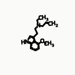 C=CCN(CC)CCc1c[nH]c2cccc(OC)c12